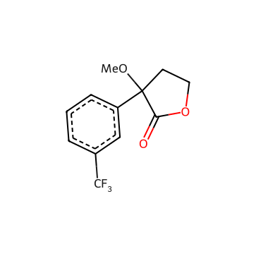 COC1(c2cccc(C(F)(F)F)c2)CCOC1=O